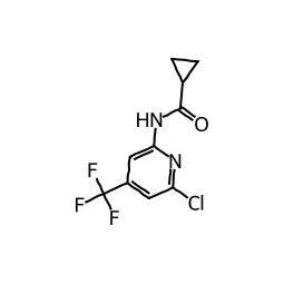 O=C(Nc1cc(C(F)(F)F)cc(Cl)n1)C1CC1